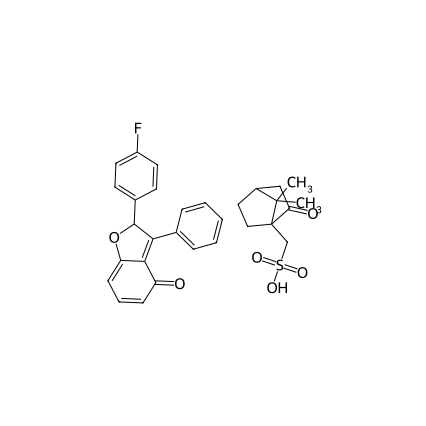 CC1(C)C2CCC1(CS(=O)(=O)O)C(=O)C2.O=C1C=CC=C2OC(c3ccc(F)cc3)C(c3ccccc3)=C12